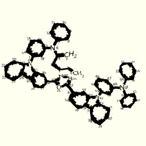 C=C/C=C\C(=C)N(c1ccccc1)c1cccc(-n2c3ccccc3c3ccc(-c4nnc(-c5ccc6c7ccccc7n(-c7cccc(N(c8ccccc8)c8ccccc8)c7)c6c5)o4)cc32)c1